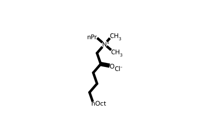 CCCCCCCCCCCC(=O)C[N+](C)(C)CCC.[Cl-]